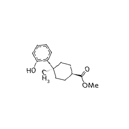 COC(=O)[C@H]1CC[C@@](C)(c2ccccc2O)CC1